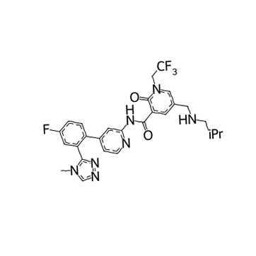 CC(C)CNCc1cc(C(=O)Nc2cc(-c3ccc(F)cc3-c3nncn3C)ccn2)c(=O)n(CC(F)(F)F)c1